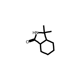 CC1(C)NC(=O)C2CCCCC21